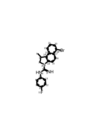 CC1CN(C(=N)Nc2ccc(F)cc2)c2ccc3c(Br)cccc3c21